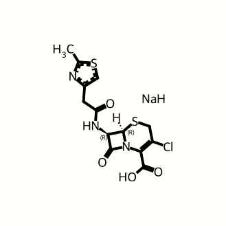 Cc1nc(CC(=O)N[C@@H]2C(=O)N3C(C(=O)O)=C(Cl)CS[C@H]23)cs1.[NaH]